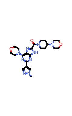 Cn1cc(-c2nc(N3CCOCC3)c3nc(C(=O)N4CCC(N5CCOCC5)CC4)[nH]c3n2)cn1